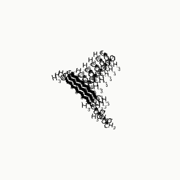 CCCCCCCCCCCC.CCCCCCCCCCCC.CCCCCCCCCCCC.CCOC(C)=O.CCOC(C)=O.CCOC(C)=O.CCOC(C)=O.CCOC(C)=O.CCOC(C)=O.CCOC(C)=O